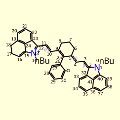 CCCCn1/c(=C/C=C2\CCCC(/C=C/C3=[N+](CCCC)C4=CCCc5cccc3c54)=C2c2ccccc2)c2cccc3cccc1c32